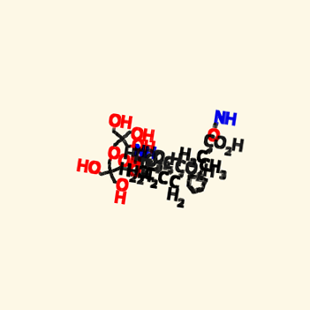 C=CC(=O)O.C=CC(=O)O.C=CC(=O)O.C=CC(=O)O.C=CC(=O)O.Cc1ccccc1.N=C=O.N=C=O.OCC(CO)(CO)COCC(CO)(CO)CO